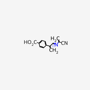 C=C(C#N)/N=C/C(=C)c1ccc(C(=O)O)cc1